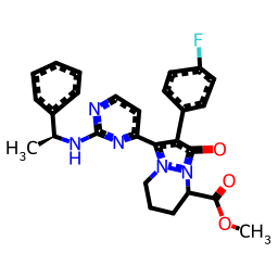 COC(=O)C1CCCn2c(-c3ccnc(N[C@@H](C)c4ccccc4)n3)c(-c3ccc(F)cc3)c(=O)n21